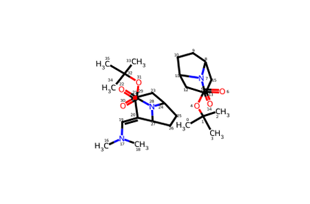 CC(C)(C)OC(=O)N1C2CCC1CC(=O)C2.CN(C)/C=C1/C(=O)CC2CCC1N2C(=O)OC(C)(C)C